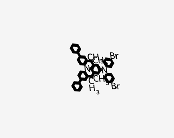 CC1(C)c2cc(-c3ccccc3)ccc2N2c3ccc(-c4ccccc4)cc3C(C)(C)c3cc(N(c4ccc(Br)cc4)c4ccc(Br)cc4)cc1c32